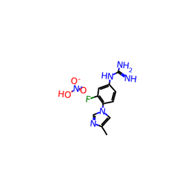 Cc1cn(-c2ccc(NC(=N)N)cc2F)cn1.O=[N+]([O-])O